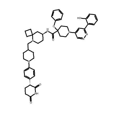 O=C1CC[C@H](c2ccc(N3CCC(CN4CC[C@H](NC(=O)C5(Oc6ccccc6)CCN(c6cnnc(-c7ccccc7O)c6)CC5)CC45CCC5)CC3)cc2)C(=O)N1